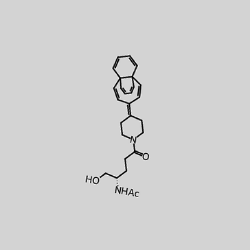 CC(=O)N[C@H](CO)CCC(=O)N1CCC(=C2C=CC34C=CC=CC3(C=CC=C4)C=C2)CC1